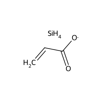 C=CC([O])=O.[SiH4]